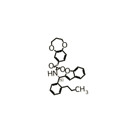 CCCc1ccccc1[C@H](NS(=O)(=O)c1ccc2c(c1)OCCCO2)c1cc2ccccc2o1